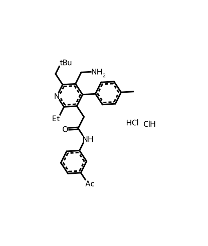 CCc1nc(CC(C)(C)C)c(CN)c(-c2ccc(C)cc2)c1CC(=O)Nc1cccc(C(C)=O)c1.Cl.Cl